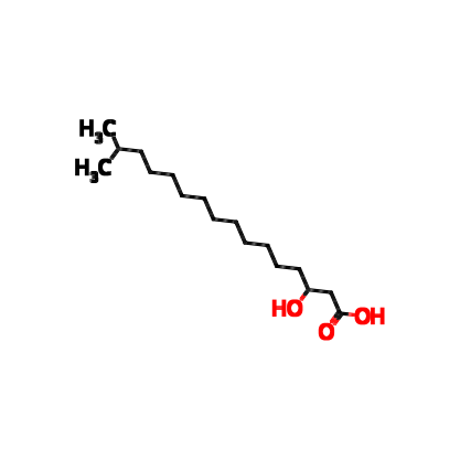 CC(C)CCCCCCCCCCCC(O)CC(=O)O